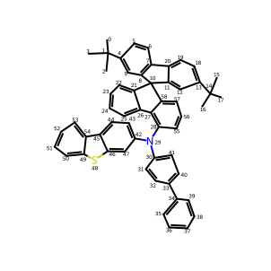 CC(C)(C)c1ccc2c(c1)C1(c3cc(C(C)(C)C)ccc3-2)c2ccccc2-c2c(N(c3ccc(-c4ccccc4)cc3)c3ccc4c(c3)sc3ccccc34)cccc21